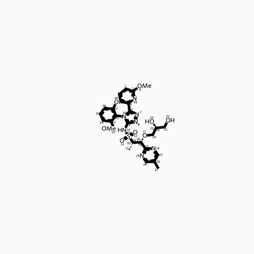 COc1cccc(-c2nnc(NS(=O)(=O)[C@@H](C)[C@H](OC[C@@H](O)CO)c3ncc(C)cn3)n2-c2c(OC)cccc2OC)n1